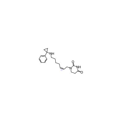 O=C1CCN(C/C=C\CCCCNC2(c3ccccc3)CC2)C(=O)N1